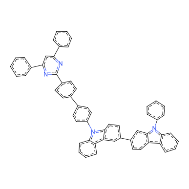 c1ccc(-c2cc(-c3ccccc3)nc(-c3ccc(-c4ccc(-n5c6ccccc6c6cc(-c7ccc8c9ccccc9n(-c9ccccc9)c8c7)ccc65)cc4)cc3)n2)cc1